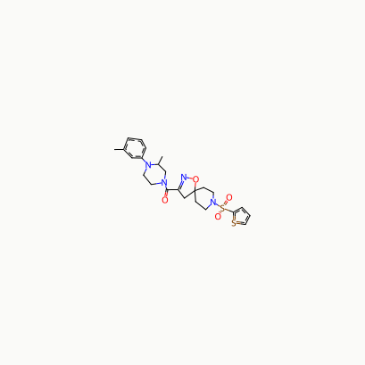 Cc1cccc(N2CCN(C(=O)C3=NOC4(CCN(S(=O)(=O)c5cccs5)CC4)C3)CC2C)c1